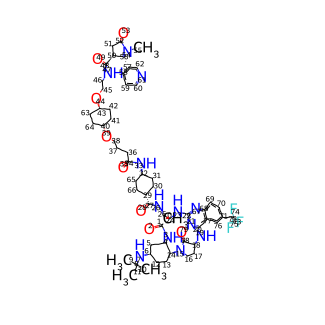 CC(=O)N[C@@H]1C[C@H](NC(C)(C)C)CC[C@@H]1N1CC[C@H](Nc2nc(NCCNC(=O)[C@H]3CC[C@H](NC(=O)CCCO[C@H]4CC[C@H](OCCNC(=O)[C@H]5CC(=O)N(C)[C@@H]5c5cccnc5)CC4)CC3)nc3ccc(C(F)(F)F)cc23)C1=O